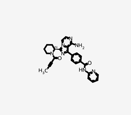 CC#CC(=O)N1CCCC[C@H]1c1nc(-c2ccc(C(=O)Nc3ccccn3)cc2)c2c(N)nccn12